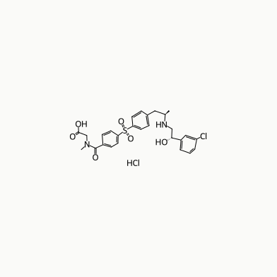 C[C@H](Cc1ccc(S(=O)(=O)c2ccc(C(=O)N(C)CC(=O)O)cc2)cc1)NC[C@@H](O)c1cccc(Cl)c1.Cl